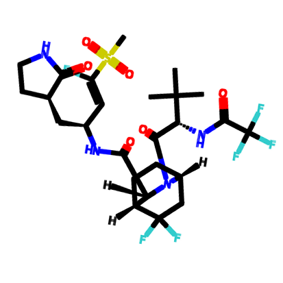 CC(C)(C)[C@H](NC(=O)C(F)(F)F)C(=O)N1[C@@H]2CC[C@H]([C@@H]1C(=O)N[C@H](/C=C(\F)S(C)(=O)=O)C[C@H]1CCNC1=O)C(F)(F)C2